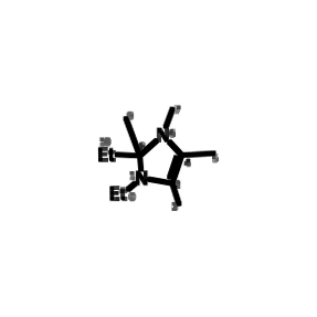 CCN1C(C)=C(C)N(C)C1(C)CC